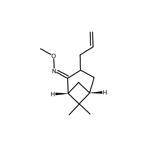 C=CCC1C[C@H]2C[C@@H](C1=NOC)C2(C)C